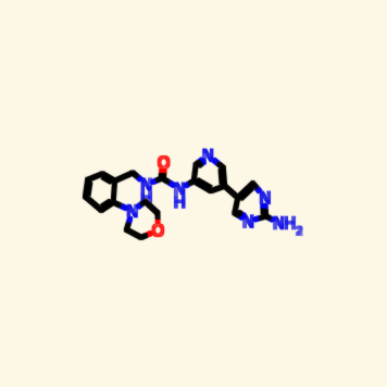 Nc1ncc(-c2cncc(NC(=O)NCc3ccccc3N3CCOCC3)c2)cn1